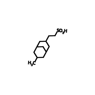 CC1CC2CC(CCS(=O)(=O)O)CC(C1)C2